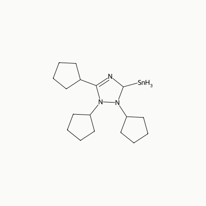 [SnH3][CH]1N=C(C2CCCC2)N(C2CCCC2)N1C1CCCC1